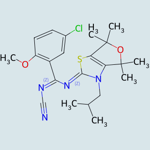 COc1ccc(Cl)cc1C(=N/C#N)/N=c1\sc2c(n1CC(C)C)C(C)(C)OC2(C)C